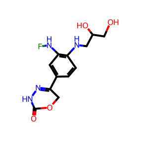 O=C1NN=C(c2ccc(NCC(O)CO)c(NF)c2)CO1